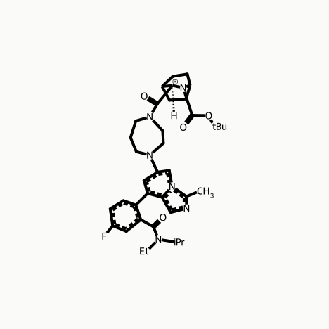 CCN(C(=O)c1cc(F)ccc1-c1cc(N2CCCN(C(=O)[C@H]3C4CCC(CC4)N3C(=O)OC(C)(C)C)CC2)cn2c(C)ncc12)C(C)C